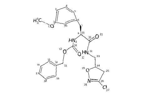 COc1cccc(C[C@H](NC(=O)OCc2ccccc2)C(=O)NCC2CC(Cl)=NO2)c1